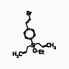 C=CC[Si](CC=C)(OCC)c1ccc(C=CBr)cc1